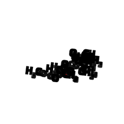 CCC(C)(CC)CCC[Si](C)(C)O[Si](C)(C)CCCN1C(=O)CC(C2CC3C(=O)N(C(C)(CC)[C@](C)(CC)c4ccc(Oc5ccc(-c6ccc(C)cc6)cc5)cc4)C(=O)C3c3ccccc32)C1=O